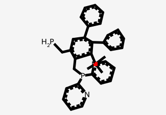 CC(C)(C)c1c(CP(c2ccccn2)c2ccccn2)c(CP)cc(-c2ccccc2)c1-c1ccccc1